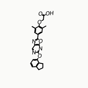 Cc1cc(-c2nc3cnc(Oc4cccc5c4CCC5)nc3o2)cc(C)c1OCC(=O)O